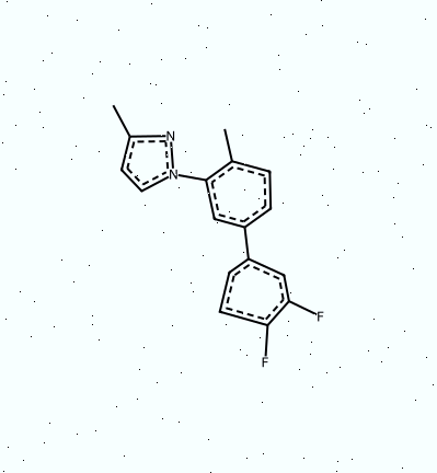 Cc1ccn(-c2cc(-c3ccc(F)c(F)c3)ccc2C)n1